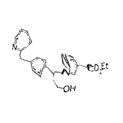 CCOC(=O)c1cnn(C(CO)c2ccc(Cc3ccccn3)cc2)c1